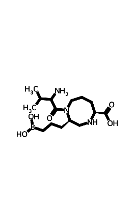 CC(C)C(N)C(=O)N1CCC[C@@H](C(=O)O)NC[C@H]1CCCB(O)O